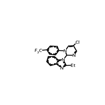 CCc1nc2ccccc2n1C1N=CC(Cl)=CN1c1ccc(C(F)(F)F)cc1